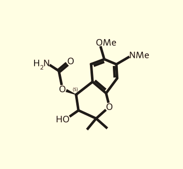 CNc1cc2c(cc1OC)[C@H](OC(N)=O)C(O)C(C)(C)O2